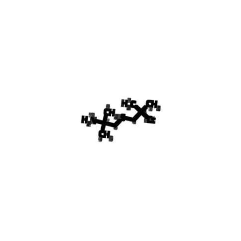 CCC(C)(C)CSCC(C)(C)N